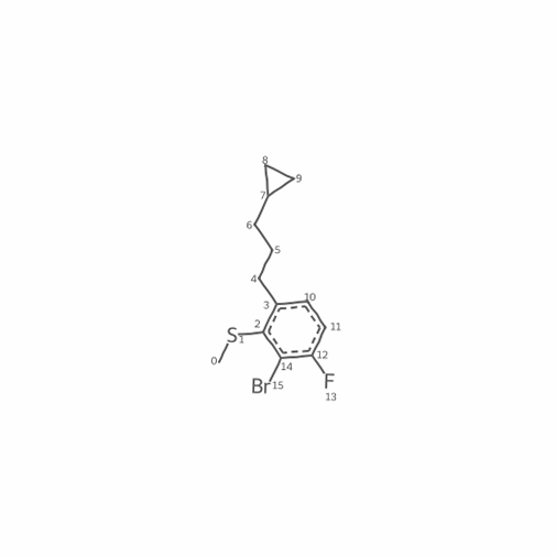 CSc1c(CCCC2CC2)ccc(F)c1Br